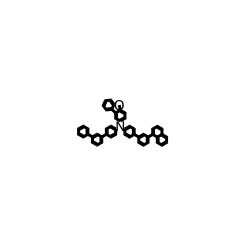 c1ccc(-c2cccc(-c3ccc(N(c4ccc(-c5cccc(-c6cccc7ccccc67)c5)cc4)c4ccc5oc6ccccc6c5c4)cc3)c2)cc1